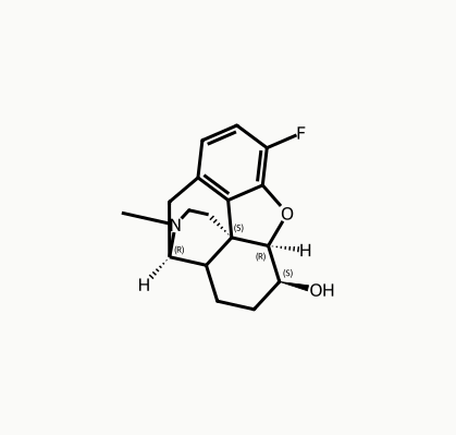 CN1CC[C@]23c4c5ccc(F)c4O[C@H]2[C@@H](O)CCC3[C@H]1C5